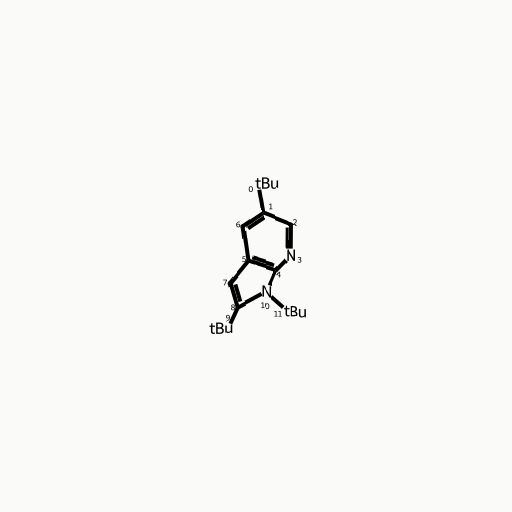 CC(C)(C)c1cnc2c(c1)cc(C(C)(C)C)n2C(C)(C)C